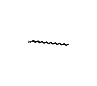 CCCCCCCCCCCCCC=CC=CBr